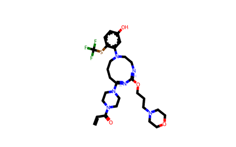 C=CC(=O)N1CCN(/C2=N/C(OCCCN3CCOCC3)=N\CCN(c3cc(O)ccc3SC(F)(F)F)CCC2)CC1